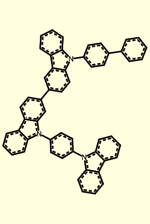 c1ccc(-c2ccc(-n3c4ccccc4c4cc(-c5ccc6c7ccccc7n(-c7ccc(-n8c9ccccc9c9ccccc98)cc7)c6c5)ccc43)cc2)cc1